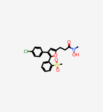 CN(O)C(=O)CCc1cc(-c2ccc(Cl)cc2)c(-c2ccccc2S(C)(=O)=O)o1